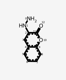 NNc1cc2ccccc2oc1=O